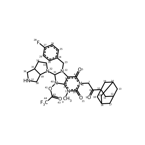 Cn1c2c(c(=O)n(CC(=O)C34CC5CC(CC(C5)C3)C4)c1=O)N(Cc1ccc(F)cc1)C(N1CCC3CNCC31)N2OC(=O)C(F)(F)F